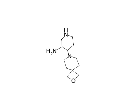 NC1CNCCC1N1CCC2(CC1)COC2